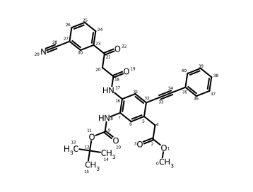 COC(=O)Cc1cc(NC(=O)OC(C)(C)C)c(NC(=O)CC(=O)c2cccc(C#N)c2)cc1C#Cc1ccccc1